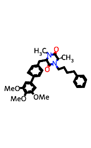 COc1cc(-c2ccc(CC3C(=O)N(CCCCc4ccccc4)[C@@H](C)C(=O)N3C)cc2)cc(OC)c1OC